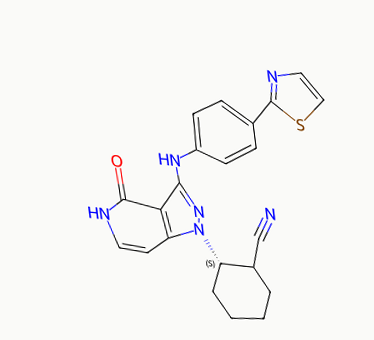 N#CC1CCCC[C@@H]1n1nc(Nc2ccc(-c3nccs3)cc2)c2c(=O)[nH]ccc21